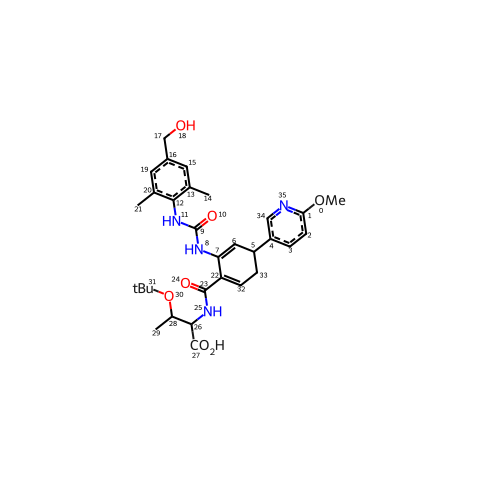 COc1ccc(C2C=C(NC(=O)Nc3c(C)cc(CO)cc3C)C(C(=O)NC(C(=O)O)C(C)OC(C)(C)C)=CC2)cn1